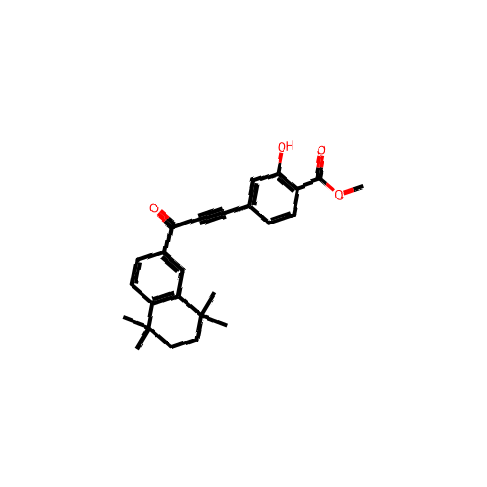 COC(=O)c1ccc(C#CC(=O)c2ccc3c(c2)C(C)(C)CCC3(C)C)cc1O